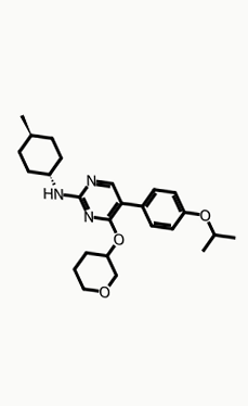 CC(C)Oc1ccc(-c2cnc(N[C@H]3CC[C@H](C)CC3)nc2OC2CCCOC2)cc1